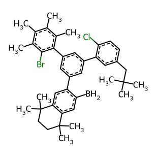 Bc1cc2c(cc1-c1cc(-c3cc(CC(C)(C)C)ccc3Cl)cc(-c3c(C)c(C)c(C)c(C)c3Br)c1)C(C)(C)CCC2(C)C